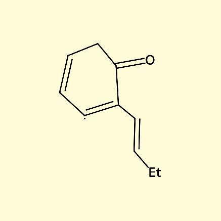 CCC=CC1=[C]C=CCC1=O